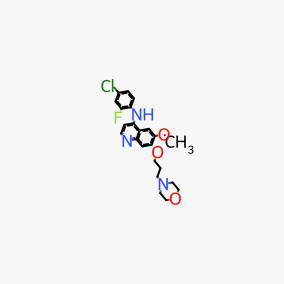 COc1cc2c(Nc3ccc(Cl)cc3F)ccnc2cc1OCCCN1CCOCC1